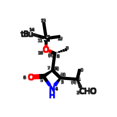 C[C@@H](C=O)[C@H]1NC(=O)[C@H]1[C@@H](C)O[Si](C)(C)C(C)(C)C